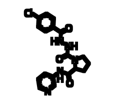 O=C(NNC(=O)N1CCCC1C(=O)Nc1cccnc1)c1ccc(Cl)cc1